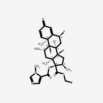 C[C@@H]1C[C@H]2[C@@H]3C[C@H](F)C4=CC(=O)C=C[C@]4(C)[C@@]3(F)[C@@H](O)C[C@]2(C)[C@@]1(OC(=O)c1cncn1C)C(=O)SCF